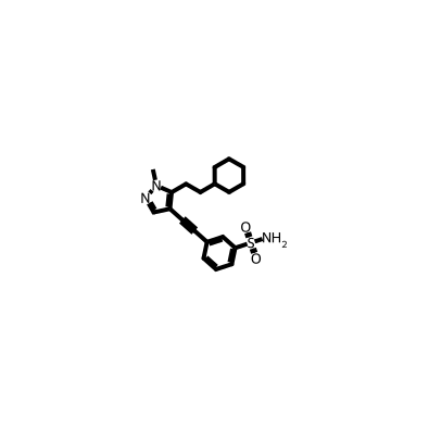 Cn1ncc(C#Cc2cccc(S(N)(=O)=O)c2)c1CCC1CCCCC1